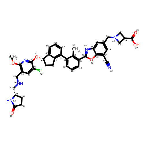 COc1nc(O[C@H]2CCc3c(-c4cccc(-c5nc6cc(CN7CC(C(=O)O)C7)cc(C#N)c6o5)c4C)cccc32)c(Cl)cc1CNC[C@@H]1CCC(=O)N1